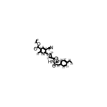 CCOC(=O)c1cc(C#N)c(N2CC(C(=O)NS(=O)(=O)Cc3ccc(CC)cc3)C2)nc1C